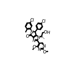 COc1ncc(-c2nc3c(n2[C@@H](C)CO)C(c2ccc(Cl)cc2)N(c2cc(Cl)ccc2C)C3=O)c(OC)n1